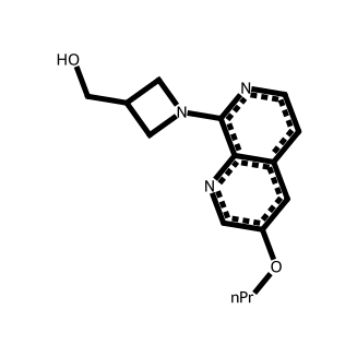 CCCOc1cnc2c(N3CC(CO)C3)nccc2c1